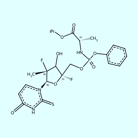 CC(C)OC(=O)[C@H](C)NP(=O)(OC[C@@]1(F)O[C@@H](n2ccc(=O)[nH]c2=S)[C@](C)(F)C1O)Oc1ccccc1